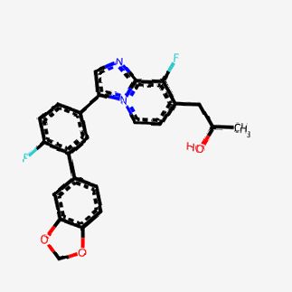 CC(O)Cc1ccn2c(-c3ccc(F)c(-c4ccc5c(c4)OCO5)c3)cnc2c1F